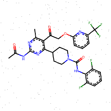 CC(=O)Nc1nc(C)c(C(=O)COc2cccc(C(F)(F)F)n2)c(C2CCN(C(=O)Nc3c(F)cccc3F)CC2)n1